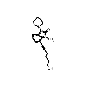 Cn1c(=O)n(N2CCCCC2)c2cccc(C#CCCCCO)c21